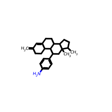 C=C1C=C2CCC3C(C2CC1)C(c1ccc(N)cc1)CC1(C)C(C)CCC31